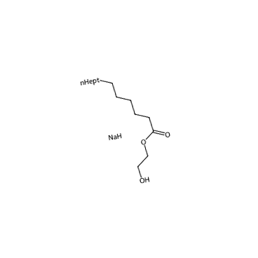 CCCCCCCCCCCCC(=O)OCCO.[NaH]